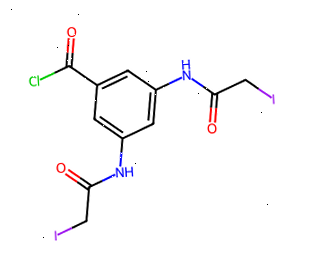 O=C(CI)Nc1cc(NC(=O)CI)cc(C(=O)Cl)c1